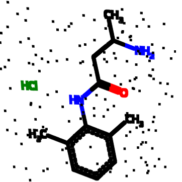 Cc1cccc(C)c1NC(=O)CC(C)N.Cl